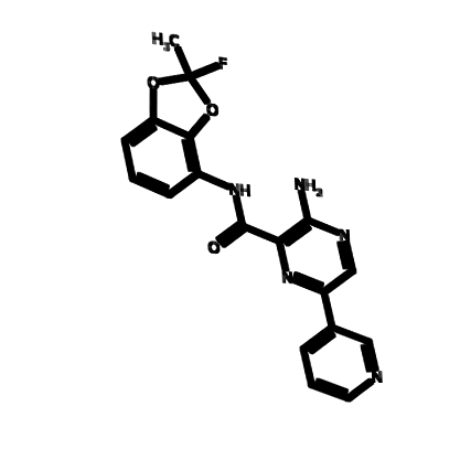 CC1(F)Oc2cccc(NC(=O)c3nc(-c4cccnc4)cnc3N)c2O1